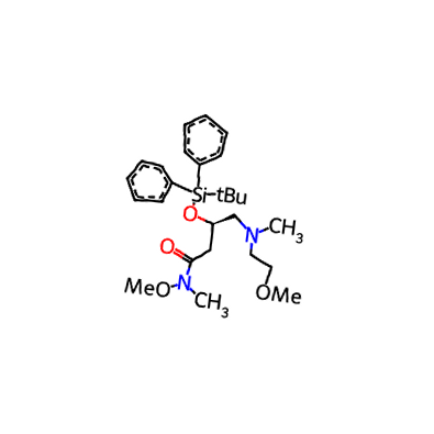 COCCN(C)C[C@@H](CC(=O)N(C)OC)O[Si](c1ccccc1)(c1ccccc1)C(C)(C)C